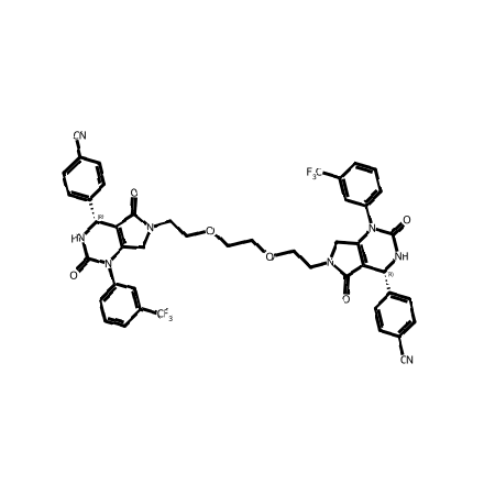 N#Cc1ccc([C@H]2NC(=O)N(c3cccc(C(F)(F)F)c3)C3=C2C(=O)N(CCOCCOCCN2CC4=C(C2=O)[C@@H](c2ccc(C#N)cc2)NC(=O)N4c2cccc(C(F)(F)F)c2)C3)cc1